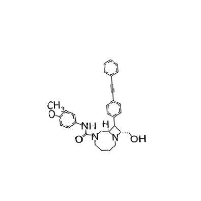 COc1ccc(NC(=O)N2CCCCN3[C@@H](CO)C(c4ccc(C#Cc5ccccc5)cc4)[C@@H]3C2)cc1